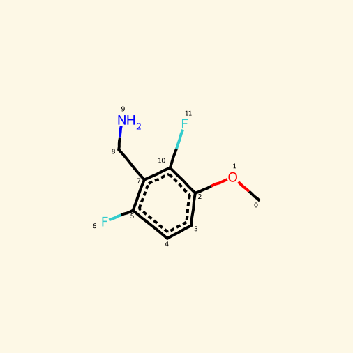 COc1ccc(F)c(CN)c1F